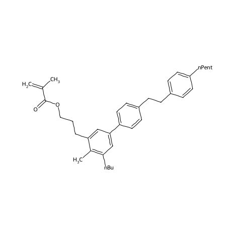 C=C(C)C(=O)OCCCc1cc(-c2ccc(CCc3ccc(CCCCC)cc3)cc2)cc(CCCC)c1C